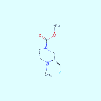 CN1CCN(C(=O)OC(C)(C)C)C[C@H]1CF